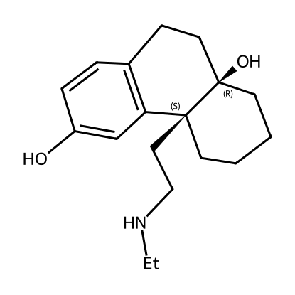 CCNCC[C@]12CCCC[C@@]1(O)CCc1ccc(O)cc12